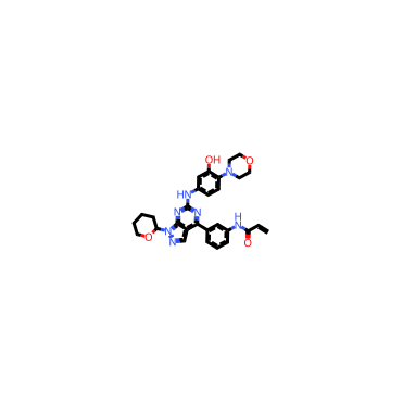 C=CC(=O)Nc1cccc(-c2nc(Nc3ccc(N4CCOCC4)c(O)c3)nc3c2cnn3C2CCCCO2)c1